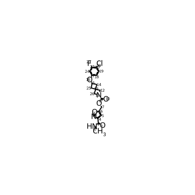 CNC(=O)c1cc(COC(=O)N2CC3(CC(Oc4ccc(Cl)c(F)c4)C3)C2)on1